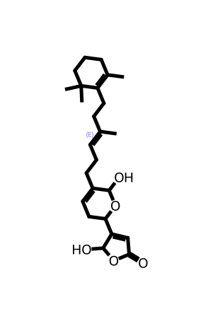 CC1=C(CC/C(C)=C/CCC2=CCC(C3=CC(=O)OC3O)OC2O)C(C)(C)CCC1